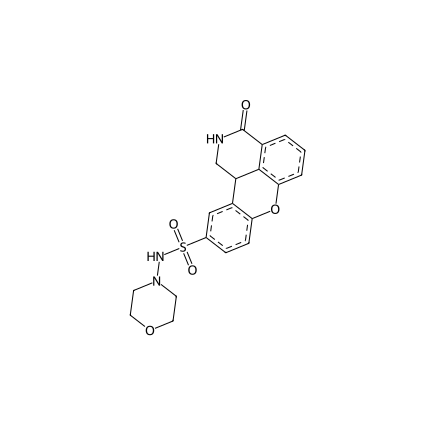 O=C1NCC2c3cc(S(=O)(=O)NN4CCOCC4)ccc3Oc3cccc1c32